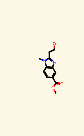 COC(=O)c1ccc2c(c1)nc(CC[O])n2C